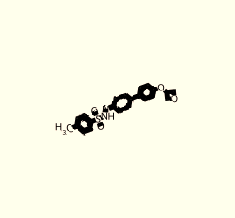 Cc1ccc(S(=O)(=O)NN=C2CCC(c3ccc(OC4COC4)cc3)CC2)cc1